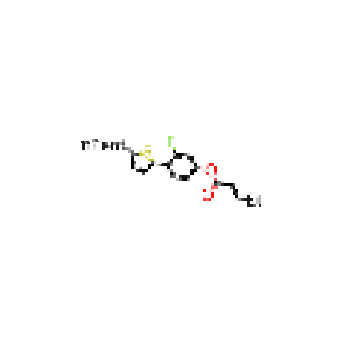 CCC=CC(=O)Oc1ccc(-c2ccc(CCCCC)s2)c(F)c1